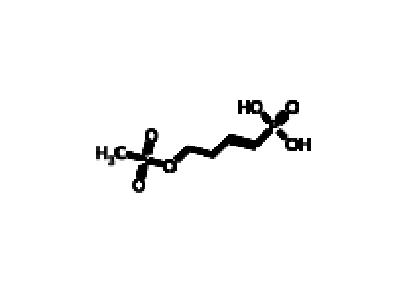 CS(=O)(=O)OCC/C=C/P(=O)(O)O